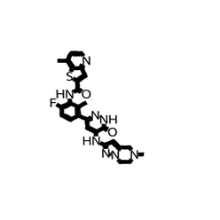 Cc1c(-c2cc(Nc3cc4n(n3)CCN(C)C4)c(=O)[nH]n2)ccc(F)c1NC(=O)c1cc2nccc(C)c2s1